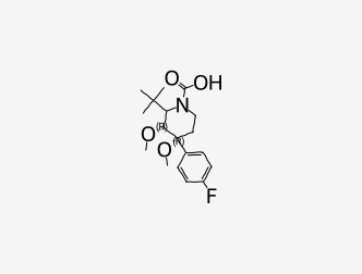 CO[C@@H]1C(C(C)(C)C)N(C(=O)O)CC[C@@]1(OC)c1ccc(F)cc1